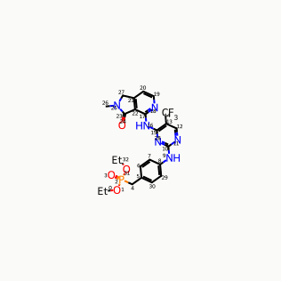 CCOP(=O)(Cc1ccc(Nc2ncc(C(F)(F)F)c(Nc3nccc4c3C(=O)N(C)C4)n2)cc1)OCC